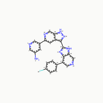 Nc1cncc(-c2cc3c(-c4nc5c(-c6ccc(F)cc6)cncc5[nH]4)n[nH]c3cn2)c1